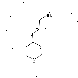 NCCCC1CCNCC1